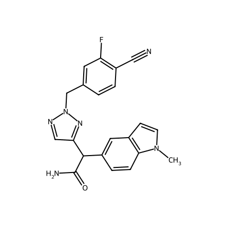 Cn1ccc2cc(C(C(N)=O)c3cnn(Cc4ccc(C#N)c(F)c4)n3)ccc21